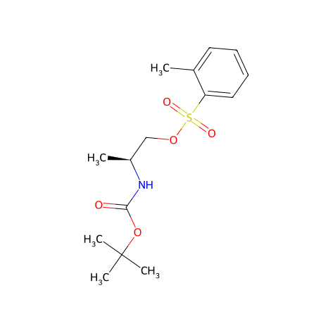 Cc1ccccc1S(=O)(=O)OC[C@H](C)NC(=O)OC(C)(C)C